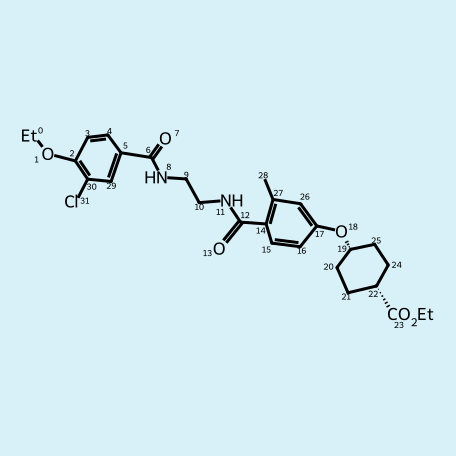 CCOc1ccc(C(=O)NCCNC(=O)c2ccc(O[C@H]3CC[C@@H](C(=O)OCC)CC3)cc2C)cc1Cl